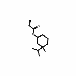 C=CC(=O)OC1CCCC(C)(C(C)C)C1